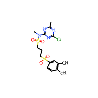 Cc1nc(Cl)nc(N(C)S(=O)(=O)CCCS(=O)(=O)c2ccc(C#N)c(C#N)c2)n1